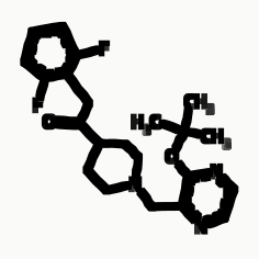 CC(C)(C)Oc1nccnc1CN1CCC(C(=O)Cc2c(F)cccc2F)CC1